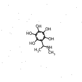 CNC(C)c1c(O)c(O)c(O)c(O)c1O